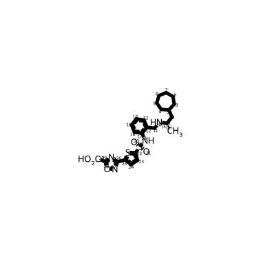 C[C@@H](CC1CCCCCC1)NCc1ccccc1NS(=O)(=O)c1ccc(-c2noc(C(=O)O)n2)s1